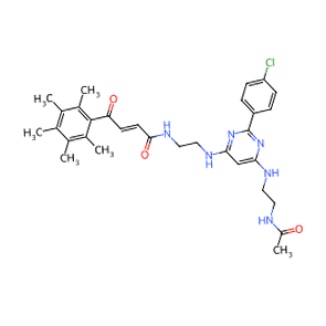 CC(=O)NCCNc1cc(NCCNC(=O)C=CC(=O)c2c(C)c(C)c(C)c(C)c2C)nc(-c2ccc(Cl)cc2)n1